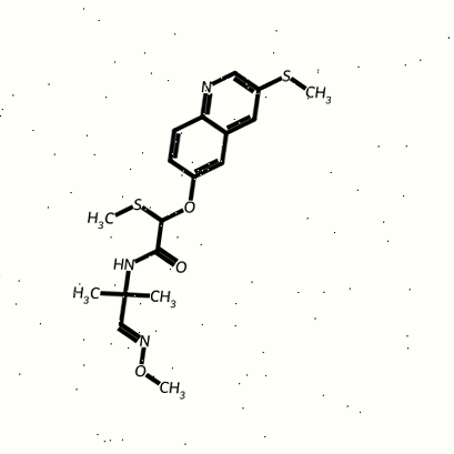 CON=CC(C)(C)NC(=O)C(Oc1ccc2ncc(SC)cc2c1)SC